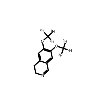 [2H]C([2H])([2H])Oc1cc2c(cc1OC([2H])([2H])[2H])CCN=C2